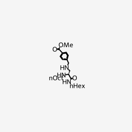 CCCCCCCCN[C@@H](CNCc1ccc(C(=O)OC)cc1)C(=O)NCCCCCC